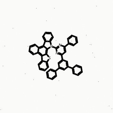 c1ccc(-c2cc(-c3ccccc3)cc(-c3cc(-c4ccccc4)nc(-n4c5ccccc5c5c6ccccc6c6c7ccccc7sc6c54)n3)c2)cc1